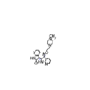 CN1CCN(CCO/N=C2/C(=C3/C(=O)N[C]4=C3C=C[CH]=[Y]4)Nc3ncccc32)CC1